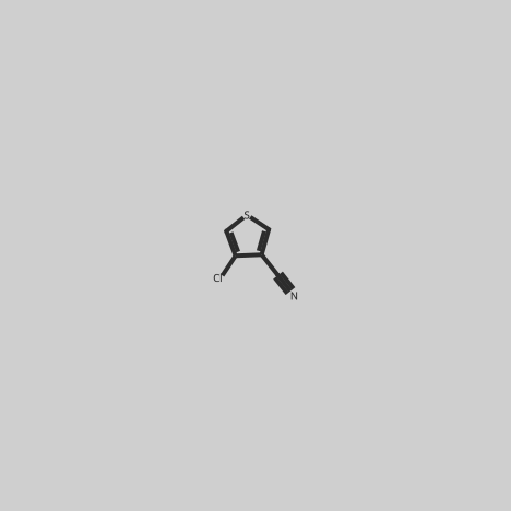 N#Cc1cscc1Cl